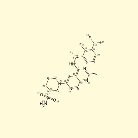 Cc1nc(N[C@H](C)c2cccc(C(F)F)c2F)c2cc(N3CCC[C@@H](S(N)(=O)=O)C3)ncc2n1